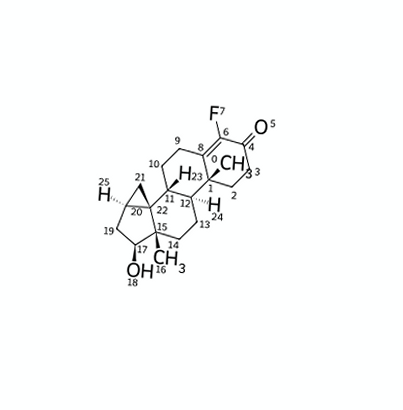 C[C@]12CCC(=O)C(F)=C1CC[C@@H]1[C@@H]2CC[C@]2(C)[C@@H](O)C[C@H]3C[C@@]312